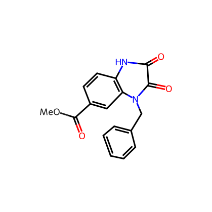 COC(=O)c1ccc2[nH]c(=O)c(=O)n(Cc3ccccc3)c2c1